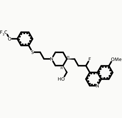 COc1ccc2nccc(C(F)CC[C@@H]3CCN(CCSc4cccc(OC(F)(F)F)c4)C[C@@H]3CO)c2c1